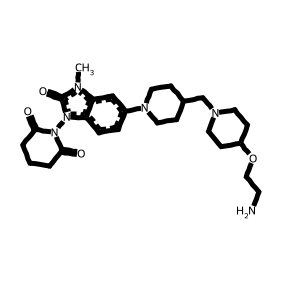 Cn1c(=O)n(N2C(=O)CCCC2=O)c2ccc(N3CCC(CN4CCC(OCCN)CC4)CC3)cc21